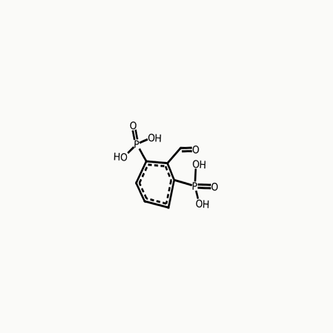 O=Cc1c(P(=O)(O)O)cccc1P(=O)(O)O